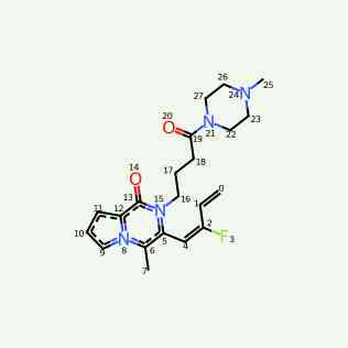 C=C/C(F)=C\c1c(C)n2cccc2c(=O)n1CCCC(=O)N1CCN(C)CC1